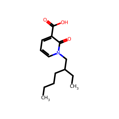 CCCCC(CC)Cn1cccc(C(=O)O)c1=O